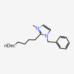 CCCCCCCCCCCCCCc1n(Cc2ccccc2)cc[n+]1C